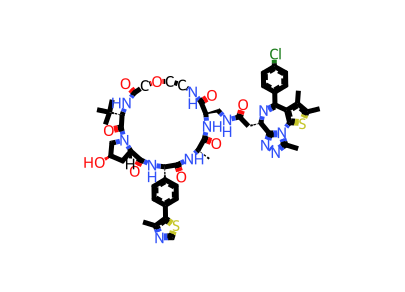 Cc1ncsc1-c1ccc([C@@H]2NC(=O)[C@@H]3C[C@@H](O)CN3C(=O)[C@H](C(C)(C)C)NC(=O)COCCNC(=O)[C@@H](CNC(=O)C[C@@H]3N=C(c4ccc(Cl)cc4)c4c(sc(C)c4C)-n4c(C)nnc43)NC(=O)[C@H](C)NC2=O)cc1